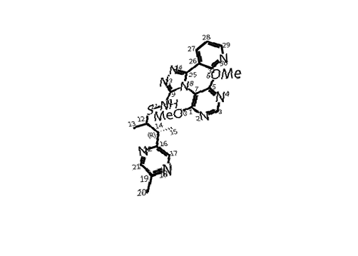 COc1ncnc(OC)c1-n1c(NSC(C)[C@H](C)c2cnc(C)cn2)nnc1-c1cccnc1